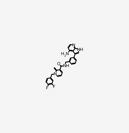 C=C1C(C(=O)NCc2cccc(-c3c[nH]c4nccc(N)c34)c2)=CC=CN1Cc1ccc(F)c(F)c1